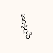 O=C(NC1CCN(CC(F)(F)F)CC1)c1cnc(-c2ccccc2Cl)nc1